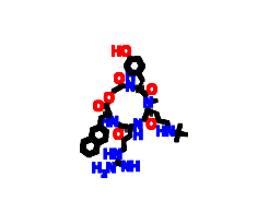 CN1C(=O)[C@@H](Cc2ccc(O)cc2)NC(=O)COC(=O)[C@H](Cc2ccc3ccccc3c2)NC(=O)[C@H](CCCNC(=N)N)NC(=O)[C@H]1CCCNC(C)(C)C